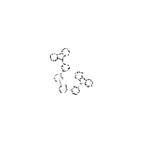 c1cc(-c2cccc(-c3cccc(-c4cccc(-n5c6ccccc6c6ncccc65)c4)n3)n2)cc(-n2c3ccccc3c3ccncc32)c1